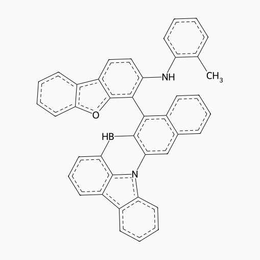 Cc1ccccc1Nc1ccc2c(oc3ccccc32)c1-c1c2c(cc3ccccc13)-n1c3ccccc3c3cccc(c31)B2